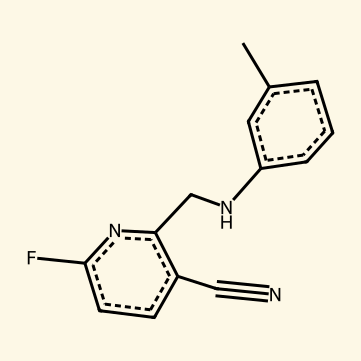 Cc1cccc(NCc2nc(F)ccc2C#N)c1